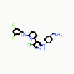 NC[C@H]1CC[C@H](Nc2cc(-c3cccc(NCc4cc(F)cc(F)c4)n3)c(Cl)cn2)CC1